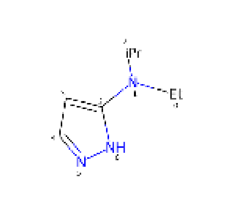 CCN(c1ccn[nH]1)C(C)C